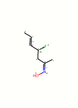 C/C=C/[C@@H](F)C/C(C)=N\O